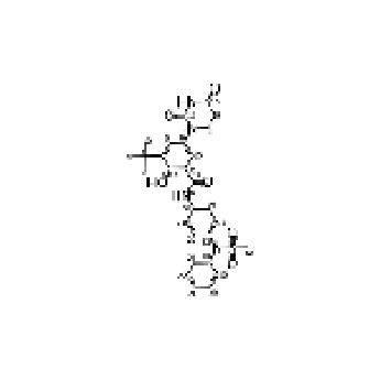 CC(C)(C)c1cc(N2CCC(=O)NC2=O)cc(C(=O)Nc2ccc(N(c3ccccc3)S(C)(=O)=O)cc2)c1O